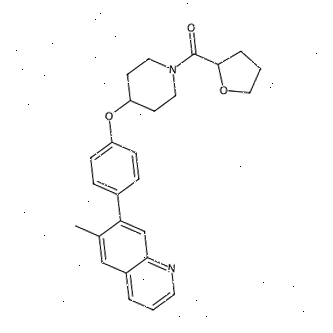 Cc1cc2cccnc2cc1-c1ccc(OC2CCN(C(=O)C3CCCO3)CC2)cc1